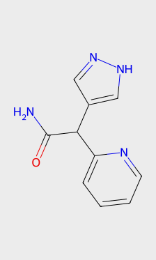 NC(=O)C(c1cn[nH]c1)c1ccccn1